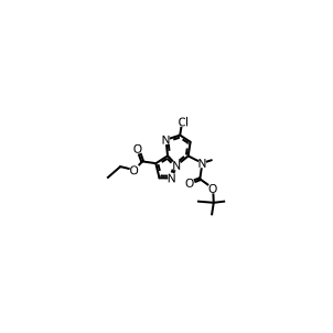 CCOC(=O)c1cnn2c(N(C)C(=O)OC(C)(C)C)cc(Cl)nc12